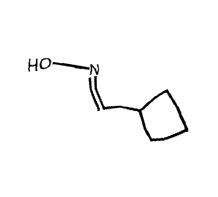 ON=CC1CCC1